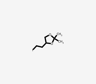 CC1(C)OCC(CCI)O1